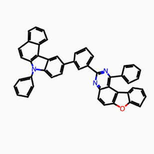 c1ccc(-c2nc(-c3cccc(-c4ccc5c(c4)c4c6ccccc6ccc4n5-c4ccccc4)c3)nc3ccc4oc5ccccc5c4c23)cc1